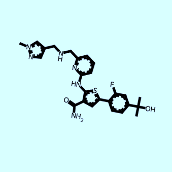 Cn1cc(CNCc2cccc(Nc3sc(-c4ccc(C(C)(C)O)cc4F)cc3C(N)=O)n2)cn1